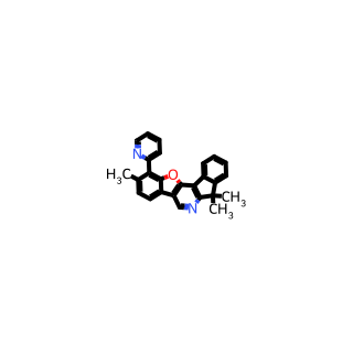 Cc1ccc2c(oc3c4c(ncc32)C(C)(C)c2ccccc2-4)c1-c1ccccn1